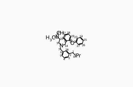 CC(C)Cc1cccc(CN(CCN(C)C)Cc2ccccc2Oc2ccccc2)c1